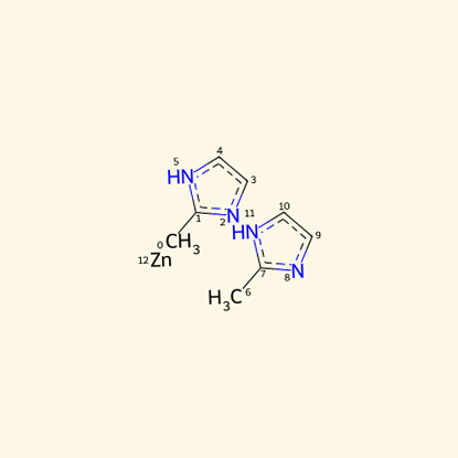 Cc1ncc[nH]1.Cc1ncc[nH]1.[Zn]